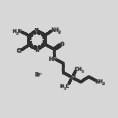 C[N+](C)(CCN)CCNC(=O)c1nc(Cl)c(N)nc1N.[Br-]